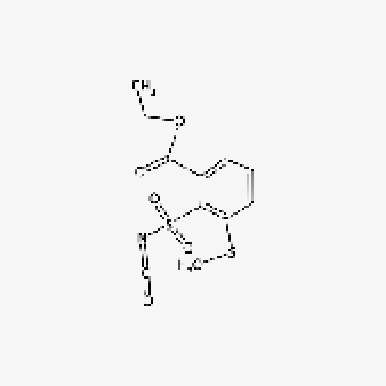 CCOC(=O)c1cccc(SC)c1S(=O)(=O)N=C=O